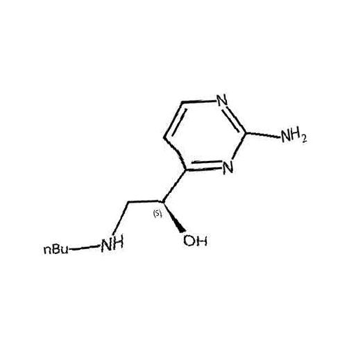 CCCCNC[C@H](O)c1ccnc(N)n1